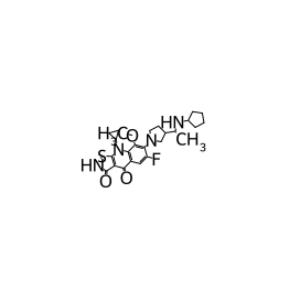 COc1c(N2CCC(C(C)NC3CCCC3)C2)c(F)cc2c(=O)c3c(=O)[nH]sc3n(C3CC3)c12